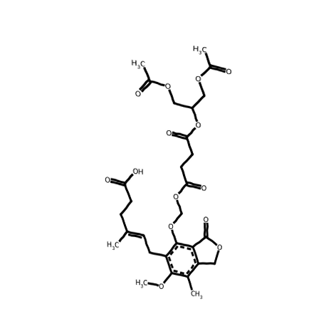 COc1c(C)c2c(c(OCOC(=O)CCC(=O)OC(COC(C)=O)COC(C)=O)c1C/C=C(\C)CCC(=O)O)C(=O)OC2